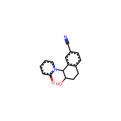 N#Cc1ccc2c(c1)C(n1ccccc1=O)C(O)CC2